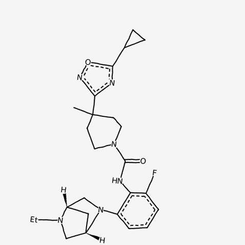 CCN1C[C@@H]2C[C@H]1CN2c1cccc(F)c1NC(=O)N1CCC(C)(c2noc(C3CC3)n2)CC1